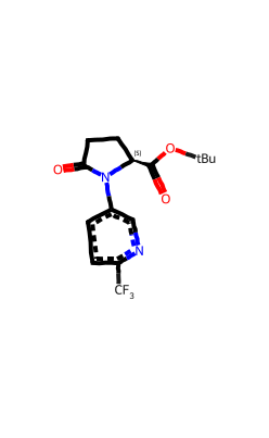 CC(C)(C)OC(=O)[C@@H]1CCC(=O)N1c1ccc(C(F)(F)F)nc1